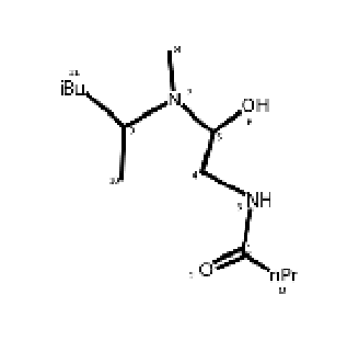 CCCC(=O)NCC(O)N(C)C(C)C(C)CC